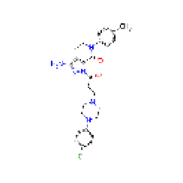 Cc1ccc(N2CCc3c(N)nn(C(=O)CCN4CCN(c5ccc(Cl)cc5)CC4)c3C2=O)cc1